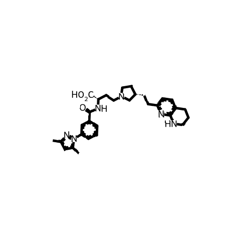 Cc1cc(C)n(-c2cccc(C(=O)N[C@@H](CCN3CC[C@H](CCc4ccc5c(n4)NCCC5)C3)C(=O)O)c2)n1